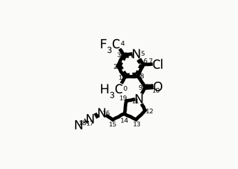 Cc1cc(C(F)(F)F)nc(Cl)c1C(=O)N1CCC(CN=[N+]=[N-])C1